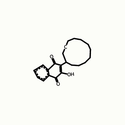 O=C1C(O)=C(C2CCCCCCCCCCC2)C(=O)c2ccccc21